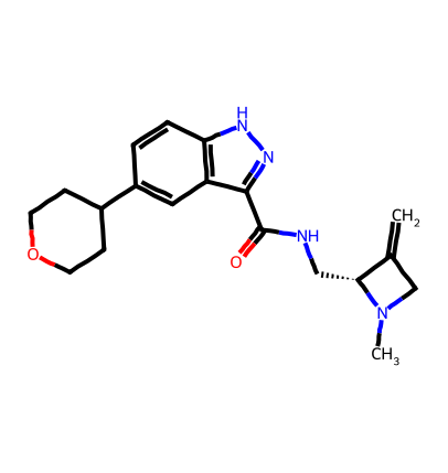 C=C1CN(C)[C@@H]1CNC(=O)c1n[nH]c2ccc(C3CCOCC3)cc12